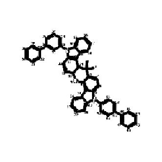 CC1(C)c2ccc3c(c2OC2C=Cc4c(c5ccccc5n4-c4cccc(-c5ccccc5)c4)C21)c1ccccc1n3-c1ccc(-c2ccccc2)cc1